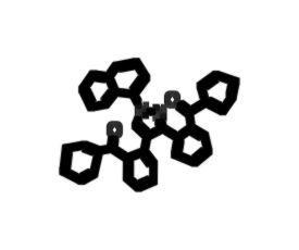 O=C(c1ccccc1)c1ccccc1-c1cn(-c2cccc3ccccc23)nc1-c1ccccc1C(=O)c1ccccc1